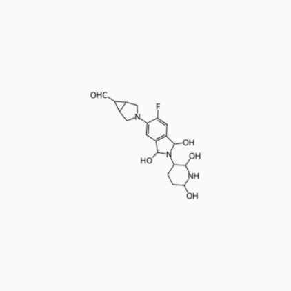 O=CC1C2CN(c3cc4c(cc3F)C(O)N(C3CCC(O)NC3O)C4O)CC12